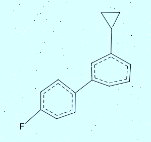 Fc1ccc(-c2cccc(C3CC3)c2)cc1